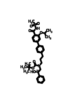 CC(C)Oc1cc(-c2ccc(CCCN(C[C@H](O)c3ccccc3)C(=O)OC(C)(C)C)cc2)ccc1C(=O)NS(C)(=O)=O